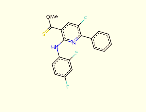 COC(=S)c1cc(F)c(-c2ccccc2)nc1Nc1ccc(F)cc1F